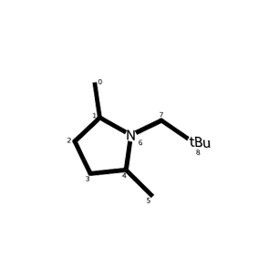 CC1CCC(C)N1CC(C)(C)C